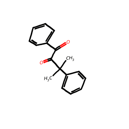 CC(C)(C(=O)C(=O)c1ccccc1)c1ccccc1